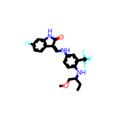 CCC(COC)Nc1ccc(NC=C2C(=O)Nc3cc(F)ccc32)cc1C(F)(F)F